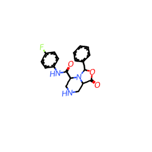 O=C(Nc1ccc(F)cc1)C1CNCC2C(=O)OC(c3ccccc3)N12